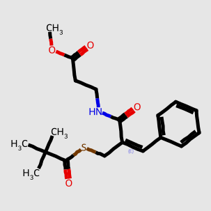 COC(=O)CCNC(=O)/C(=C\c1ccccc1)CSC(=O)C(C)(C)C